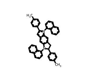 Cc1ccc(-c2cc3cc4c(cc3n2-c2cccc3ccccc23)CC(c2ccc(C)cc2)N4c2cccc3ccccc23)cc1